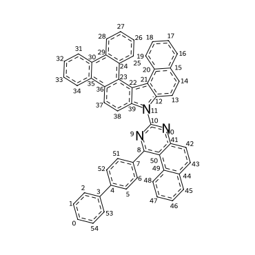 c1ccc(-c2ccc(-c3nc(-n4c5ccc6ccccc6c5c5c6c7ccccc7c7ccccc7c6ccc54)nc4ccc5ccccc5c34)cc2)cc1